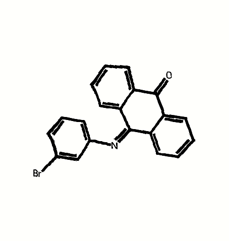 O=C1c2ccccc2C(=Nc2cccc(Br)c2)c2ccccc21